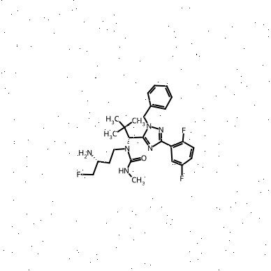 CNC(=O)N(CC[C@@H](N)CF)[C@@H](c1nc(-c2cc(F)ccc2F)nn1Cc1ccccc1)C(C)(C)C